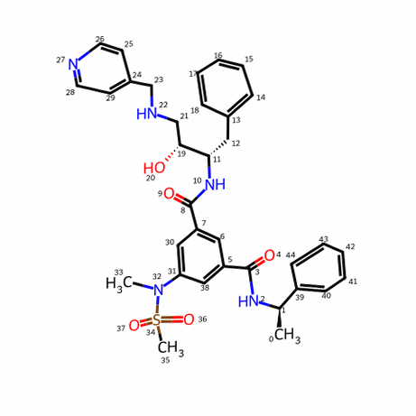 C[C@@H](NC(=O)c1cc(C(=O)N[C@@H](Cc2ccccc2)[C@H](O)CNCc2ccncc2)cc(N(C)S(C)(=O)=O)c1)c1ccccc1